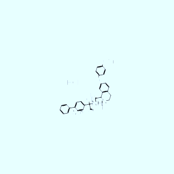 COC(=O)C(C)(NC(=O)C1NCCc2ccc(Oc3ccc(C(C)(C)C)cc3)cc21)c1ccc(-c2ccccc2)cc1.Cl